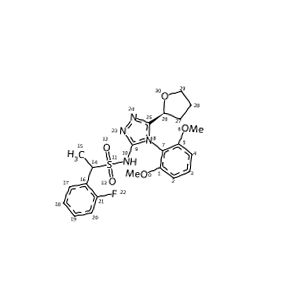 COc1cccc(OC)c1-n1c(NS(=O)(=O)C(C)c2ccccc2F)nnc1[C@@H]1CCCO1